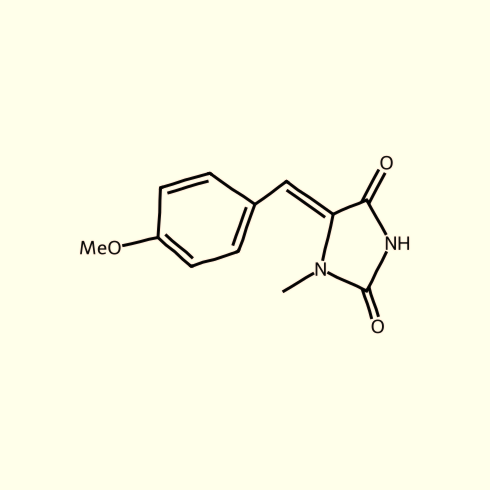 COc1ccc(C=C2C(=O)NC(=O)N2C)cc1